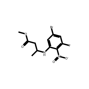 COC(=O)CC(C)Nc1cc(Br)cc(F)c1[N+](=O)[O-]